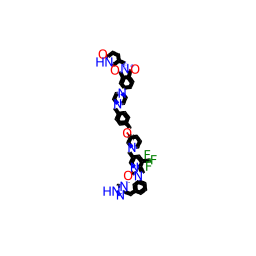 CN1CNN=C1Cc1cccc(-n2cc3c(C(F)(F)F)cc(CN4CCC[C@H](OCc5ccc(CN6CCN(C7C=C8C/[N+](=C\C9CCC(=O)NC9=O)C(=O)C8=CC7)CC6)cc5)C4)cn3c2=O)c1